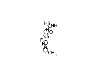 C[C@@H]1CCCN(c2ccc(-c3nc4c(s3)C(=O)N(/C(C=N)=C/S)CC4)c(F)n2)C1